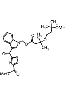 COC(=O)c1csc(C(=O)c2cn(COC(=O)CC(C)(C)OCCC(C)(C)OC)c3ccccc23)n1